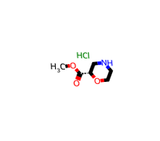 COC(=O)[C@@H]1CNCCO1.Cl